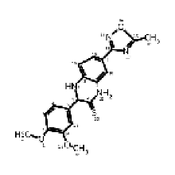 COc1ccc(C(Nc2ccc(-c3noc(C)n3)cc2)C(N)=S)cc1OC